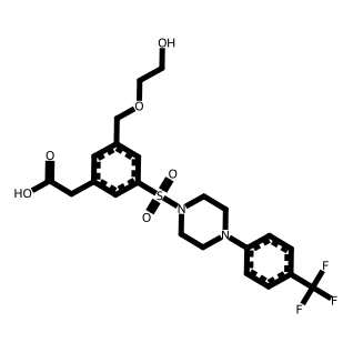 O=C(O)Cc1cc(COCCO)cc(S(=O)(=O)N2CCN(c3ccc(C(F)(F)F)cc3)CC2)c1